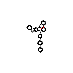 c1ccc(-c2ccc(-c3ccc(N(c4ccccc4)c4cc5sc6ccccc6c5cc4-c4ccc5ccccc5c4)cc3)cc2)cc1